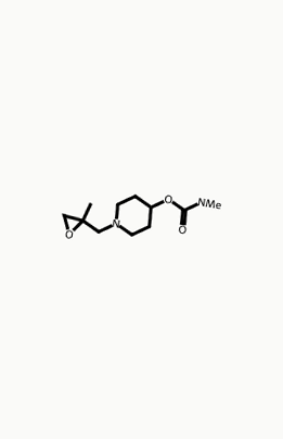 CNC(=O)OC1CCN(CC2(C)CO2)CC1